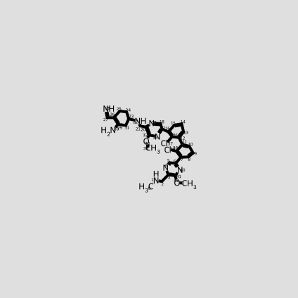 CNCc1ncc(-c2cccc(-c3cccc(-c4cnc(CNC5CCC(C=N)=C(N)C5)c(OC)n4)c3Cl)c2Cl)nc1OC